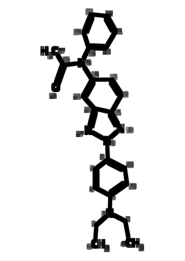 CCN(CC)c1ccc(-n2nc3ccc(N(C(C)=O)c4ccccc4)cc3n2)cc1